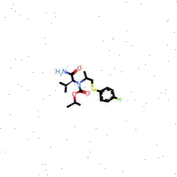 CC(C)OC(=O)N(C(C)CSc1ccc(F)cc1)[C@H](C(N)=O)C(C)C